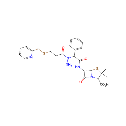 CC1(C)SC2C(NC(=O)C(c3ccccc3)N(N)C(=O)CCSSc3ccccn3)C(=O)N2C1C(=O)O